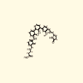 COc1nc(-c2ccnc(-c3cccc(Nc4nccc(CNCCC(=O)O)c4F)c3Cl)c2Cl)ccc1CNCC1CCC(=O)N1